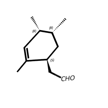 CC1=C[C@H](C)[C@H](C)C[C@H]1CC=O